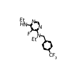 CCNc1ncnc(N(CC)Cc2ccc(C(F)(F)F)cc2)c1F